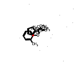 Cc1ccccc1[O][Ti]([CH3])([CH3])([CH3])([CH3])([CH3])([Cl])([Cl])[C]1=CC=CC1